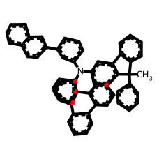 CC1(c2ccccc2)c2ccccc2-c2cc(N(c3cccc(-c4ccc5ccccc5c4)c3)c3ccccc3-c3ccccc3-c3ccccc3-c3ccccc3)ccc21